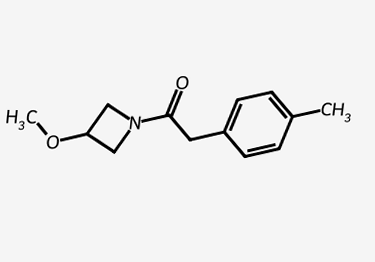 COC1CN(C(=O)Cc2ccc(C)cc2)C1